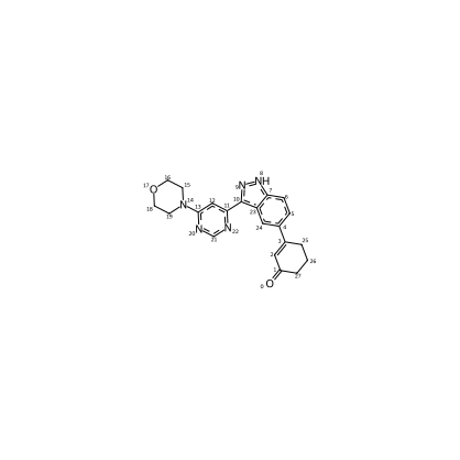 O=C1C=C(c2ccc3[nH]nc(-c4cc(N5CCOCC5)ncn4)c3c2)CCC1